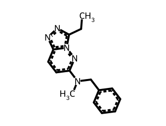 CCc1nnc2ccc(N(C)Cc3ccccc3)nn12